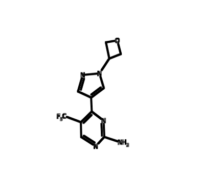 Nc1ncc(C(F)(F)F)c(-c2cnn(C3COC3)c2)n1